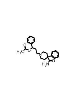 CC(=O)OC(CCN1CCC(C(N)=O)(c2ccccc2)CC1)c1ccccc1